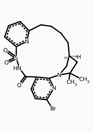 CC1(C)C[C@@H]2CCCCc3cccc(n3)S(=O)(=O)NC(=O)c3ccc(Br)nc3N1C2